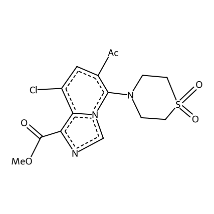 COC(=O)c1ncn2c(N3CCS(=O)(=O)CC3)c(C(C)=O)cc(Cl)c12